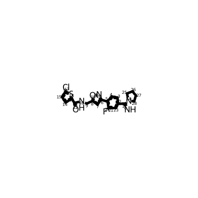 N=C(c1ccc(-c2cc(CNC(=O)c3ccc(Cl)s3)on2)c(F)c1)N1CCCC1